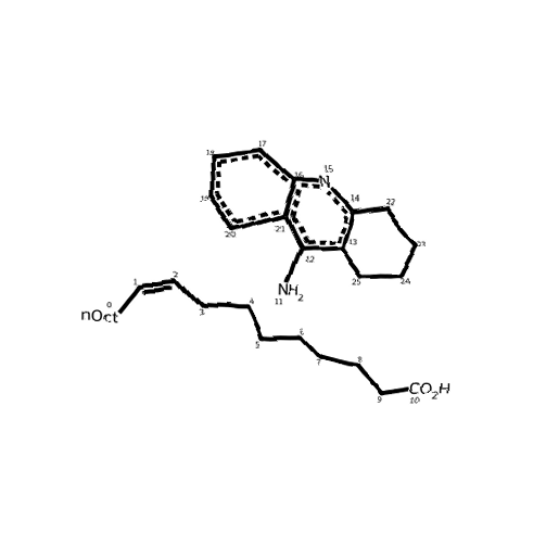 CCCCCCCC/C=C\CCCCCCCC(=O)O.Nc1c2c(nc3ccccc13)CCCC2